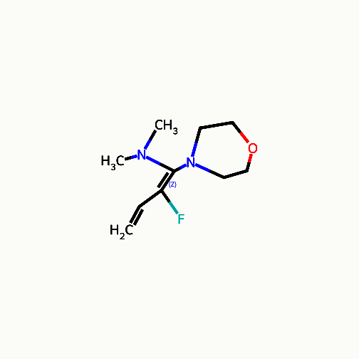 C=C/C(F)=C(\N(C)C)N1CCOCC1